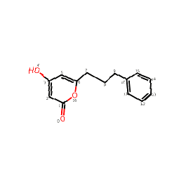 O=c1cc(O)cc(CCCc2ccccc2)o1